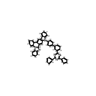 c1ccc(-c2nc(-c3ccccc3)nc(-c3cccc(-c4ccc(-n5c6ccccc6c6cc7c8ccccc8n8c9ccccc9nc8c7cc65)cc4)c3)n2)cc1